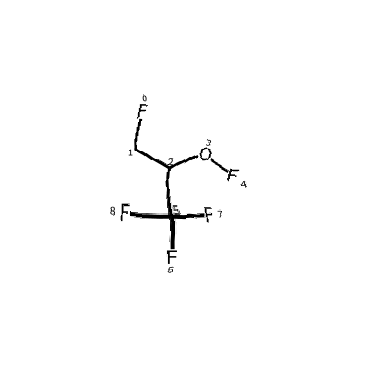 FCC(OF)C(F)(F)F